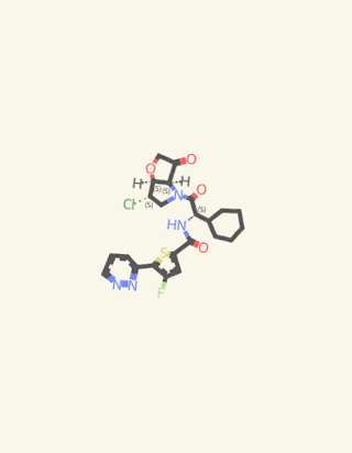 O=C(N[C@H](C(=O)N1C[C@H](Cl)[C@H]2OCC(=O)[C@H]21)C1CCCCC1)c1cc(F)c(-c2cccnn2)s1